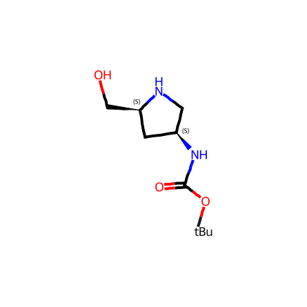 CC(C)(C)OC(=O)N[C@@H]1CN[C@H](CO)C1